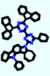 C1=CCc2c(c3c(ccc4c5ccccc5n(-c5ccccc5)c43)n2-c2nc(-c3ccccc3)nc(-c3nc(C4c5ccccc5-c5ccccc54)nc(C4c5ccccc5-c5ccccc54)n3)n2)C=C1